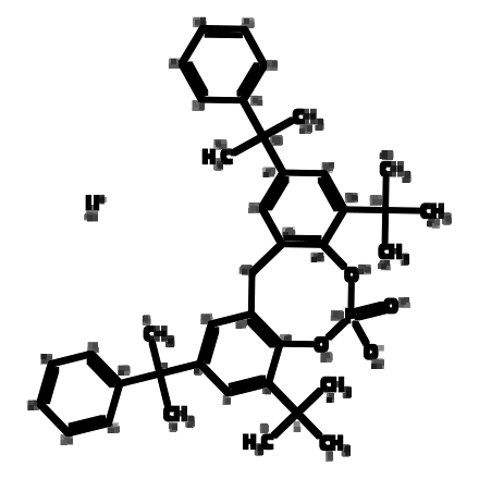 CC(C)(C)c1cc(C(C)(C)c2ccccc2)cc2c1OP(=O)([O-])Oc1c(cc(C(C)(C)c3ccccc3)cc1C(C)(C)C)C2.[Li+]